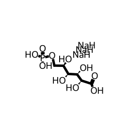 O=C(O)[C@H](O)[C@@H](O)[C@H](O)[C@H](O)COP(=O)(O)O.[NaH].[NaH].[NaH]